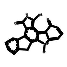 O=C1C=CC=C2C1=c1c(c3c(c4c1=C(O)NC4=O)-c1ccccc1C3)[NH+]2[O-]